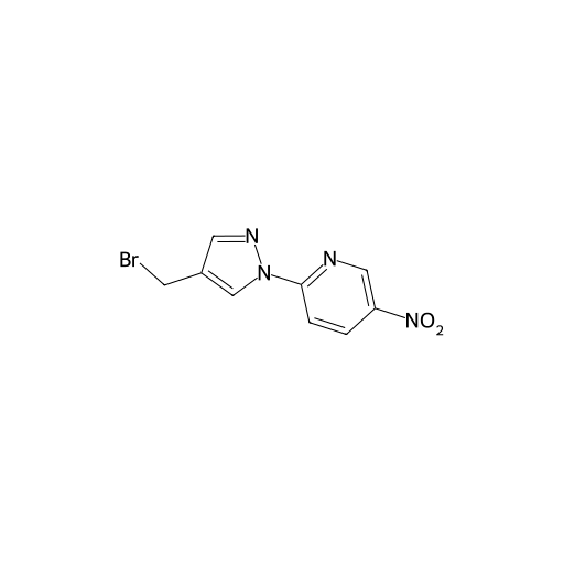 O=[N+]([O-])c1ccc(-n2cc(CBr)cn2)nc1